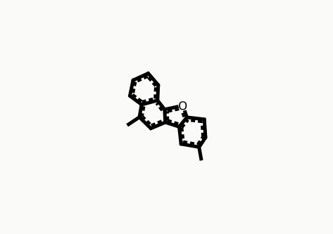 Cc1ccc2oc3c4ccccc4c(C)cc3c2c1